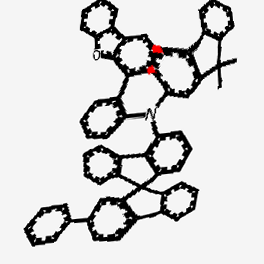 CC1(C)c2ccccc2-c2ccc(N(c3ccccc3-c3cccc4c3oc3ccccc34)c3cccc4c3-c3ccccc3C43c4ccccc4-c4ccc(-c5ccccc5)cc43)cc21